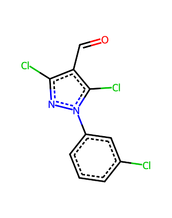 O=Cc1c(Cl)nn(-c2cccc(Cl)c2)c1Cl